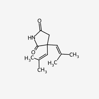 CC(C)=CC1(C=C(C)C)CC(=O)NC1=O